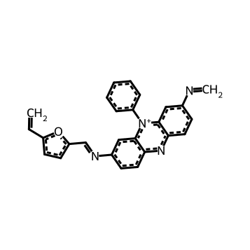 C=Cc1ccc(C=Nc2ccc3nc4ccc(N=C)cc4[n+](-c4ccccc4)c3c2)o1